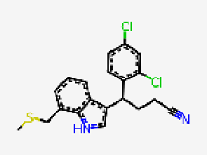 CSCc1cccc2c(C(CCC#N)c3ccc(Cl)cc3Cl)c[nH]c12